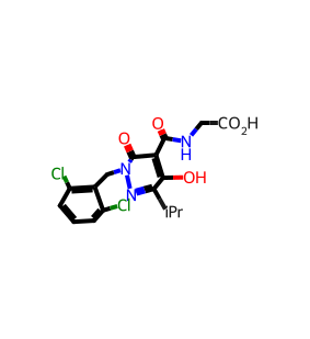 CC(C)c1nn(Cc2c(Cl)cccc2Cl)c(=O)c(C(=O)NCC(=O)O)c1O